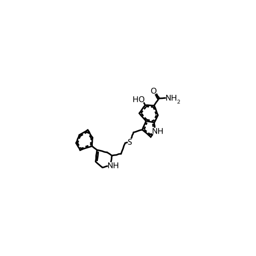 NC(=O)c1cc2[nH]cc(CSCCC3CC(c4ccccc4)=CCN3)c2cc1O